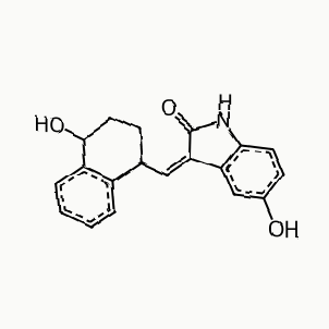 O=C1Nc2ccc(O)cc2C1=CC1CCC(O)c2ccccc21